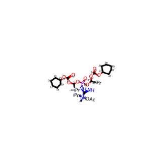 CC(=O)O[N+](C)(C(=N)NP(=O)(OC(OC(=O)OC1CCCCC1)C(C)C)OC(OC(=O)OC1CCCCC1)C(C)C)C(C)C